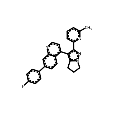 Cc1cccc(-c2nn3c(c2-c2ccnc4cc(-c5ccc(F)cc5)ccc24)CCC3)n1